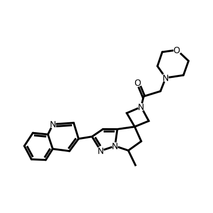 CC1CC2(CN(C(=O)CN3CCOCC3)C2)c2cc(-c3cnc4ccccc4c3)nn21